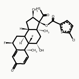 C[C@@H]1C[C@H]2[C@@H]3C[C@H](F)C4=CC(=O)C=C[C@]4(C)[C@@]3(F)[C@@H](O)C[C@]2(C)[C@@]1(OC(=O)c1ccc(Cl)s1)C(=O)S